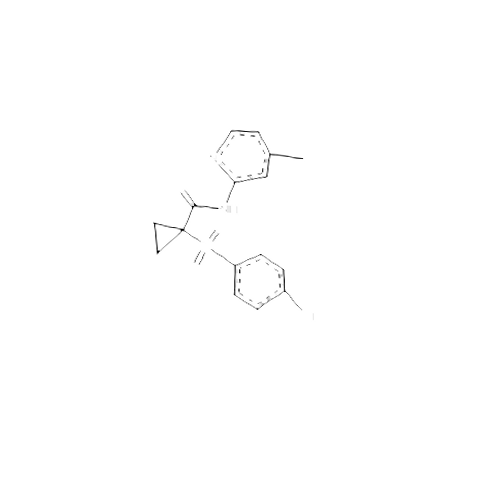 O=C(Nc1cc(C(F)(F)F)ccn1)C1(S(=O)(=O)c2ccc(C(F)(F)F)cc2)CC1